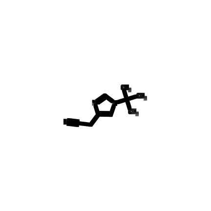 CC(C)(C)n1cnc(CC#N)c1